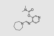 CN(C)C(=O)Oc1cnccc1N=CN1CCCCCC1